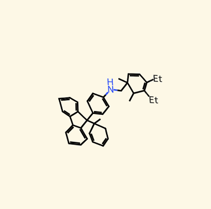 CCC1=C(CC)C(C)C(C)(CNc2ccc(C3(C4(C)C=CC=CC4)c4ccccc4-c4ccccc43)cc2)C=C1